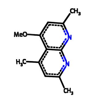 COc1cc(C)nc2nc(C)cc(C)c12